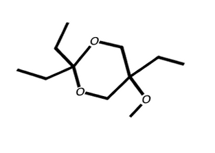 CCC1(OC)COC(CC)(CC)OC1